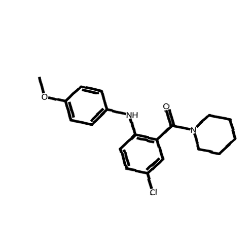 COc1ccc(Nc2ccc(Cl)cc2C(=O)N2CCCCC2)cc1